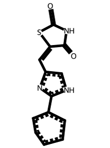 O=C1NC(=O)/C(=C\c2c[nH]c(-c3ccccc3)n2)S1